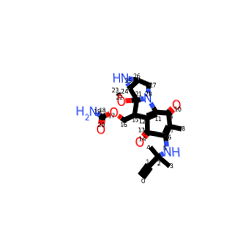 C#CC(C)(C)NC1=C(C)C(=O)C2=C(C1=O)C(COC(N)=O)C1(OC)C3NC3CN21